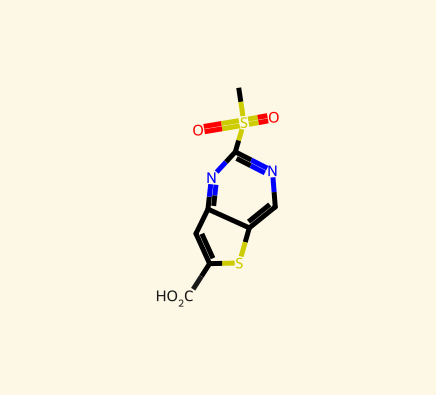 CS(=O)(=O)c1ncc2sc(C(=O)O)cc2n1